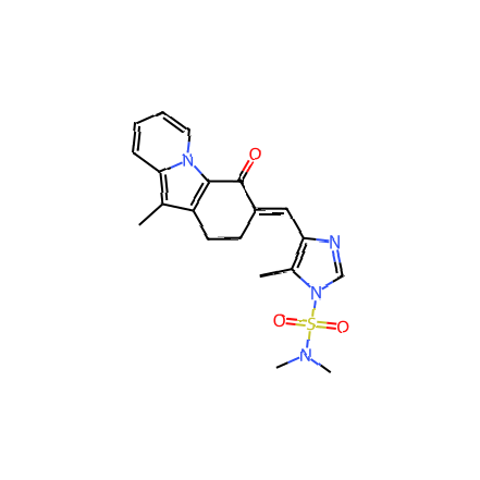 Cc1c2c(n3ccccc13)C(=O)C(=Cc1ncn(S(=O)(=O)N(C)C)c1C)CC2